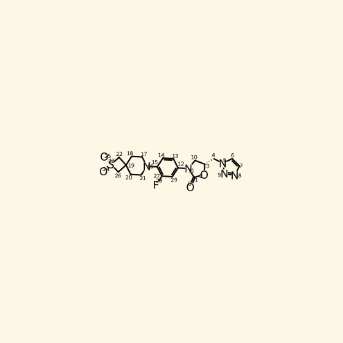 O=C1O[C@@H](Cn2ccnn2)CN1c1ccc(N2CCC3(CC2)CS(=O)(=O)C3)c(F)c1